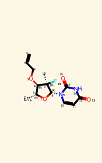 C=CCO[C@@H]1[C@@H](CC)O[C@@H](n2ccc(=O)[nH]c2=O)[C@]1(C)F